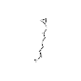 COCCOCOC[C@H]1CO1